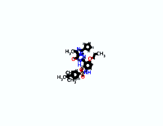 CCCOc1ccc(NS(=O)(=O)c2ccc(C(C)(C)C)cc2)cc1-c1nn2c(C3CCCC3)nc(C)c2c(=O)[nH]1